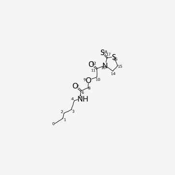 CCCCCNC(=O)COCC(=O)N1CCSC1=S